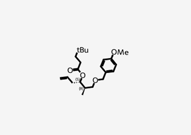 C=CC[C@H](OC(=O)CCC(C)(C)C)[C@H](C)COCc1ccc(OC)cc1